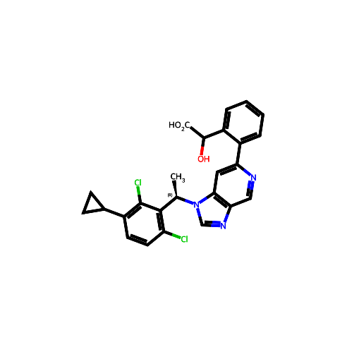 C[C@H](c1c(Cl)ccc(C2CC2)c1Cl)n1cnc2cnc(-c3ccccc3C(O)C(=O)O)cc21